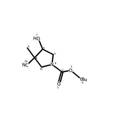 CC(C)(C)OC(=O)N1CC(O)C(C)(C#N)C1